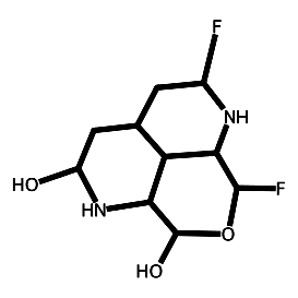 OC1CC2CC(F)NC3C(F)OC(O)C(N1)C23